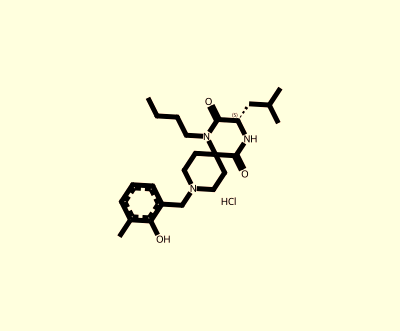 CCCCN1C(=O)[C@H](CC(C)C)NC(=O)C12CCN(Cc1cccc(C)c1O)CC2.Cl